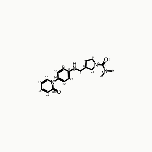 CN(C)C(=O)N1C[CH]C(CNc2ccc(-n3ccccc3=O)cc2)C1